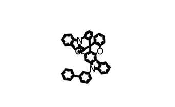 c1ccc(-c2cccc(-n3c4ccccc4c4c5c(ccc43)C3(c4ccccc4O5)c4ccccc4-n4c5ccccc5c5cccc3c54)c2)cc1